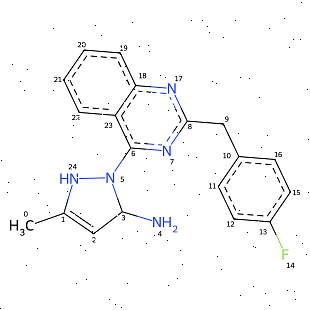 CC1=CC(N)N(c2nc(Cc3ccc(F)cc3)nc3ccccc23)N1